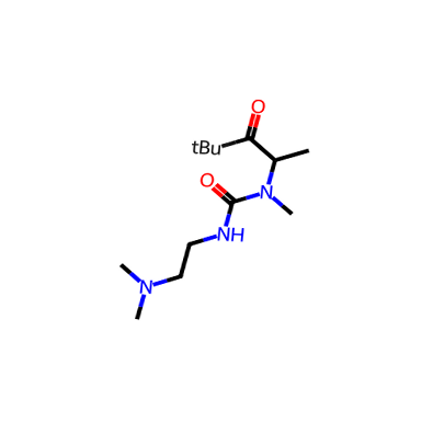 CC(C(=O)C(C)(C)C)N(C)C(=O)NCCN(C)C